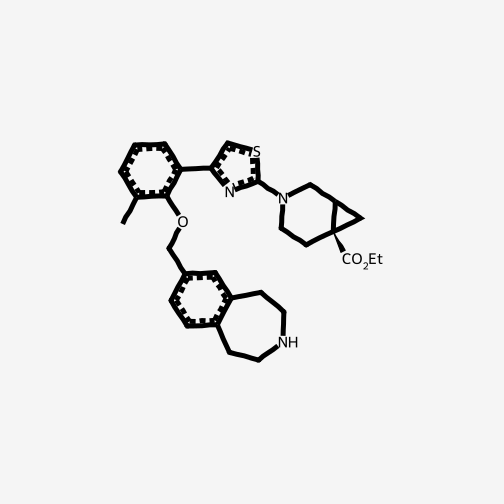 CCOC(=O)[C@@]12CCN(c3nc(-c4cccc(C)c4OCc4ccc5c(c4)CCNCC5)cs3)CC1C2